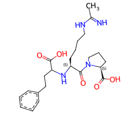 CC(=N)NCCCC[C@H](NC(CCc1ccccc1)C(=O)O)C(=O)N1CCC[C@H]1C(=O)O